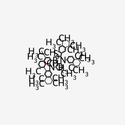 Cc1cc2c3c(c1)N(c1ccc4c(c1)C(C)(C)CCC4(C)C)c1c(sc4cc5c(cc14)C(C)(C)CCC5(C)C)B3c1cc(C(C)(C)C)ccc1N2c1cc2c(cc1-c1c(C)cccc1C)C(C)(C)CCC2(C)C